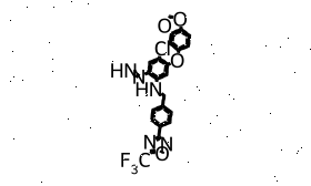 N=Nc1cc(Cl)c(Oc2ccc3c(c2)OCO3)cc1NCc1ccc(-c2noc(C(F)(F)F)n2)cc1